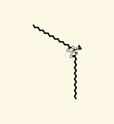 CCCCCCCCCCCCCCCC(=O)OP(=O)(OC(=O)CCCCCCCCCCCCCCC)N1CC1